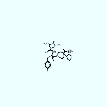 CC1CN(C(=O)N[C@H](Cc2ccc(F)cc2)C(=O)N2CCC(C(=O)NC(C)(C)C)(C3CCCCC3)CC2)CC(C)N1Cl